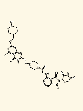 CC(=O)N1CCC(COc2cc(F)c3c(=O)[nH]c(CSC4CCN(C(=O)CNc5cccc6c5C(=O)N(C5CCC(=O)NC5=O)C6=O)CC4)nc3c2)CC1